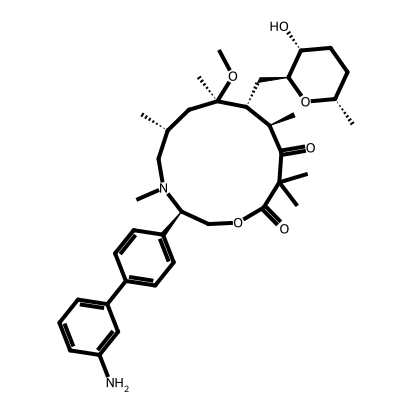 CO[C@]1(C)C[C@@H](C)CN(C)[C@H](c2ccc(-c3cccc(N)c3)cc2)COC(=O)C(C)(C)C(=O)[C@H](C)[C@H]1C[C@@H]1O[C@@H](C)CC[C@H]1O